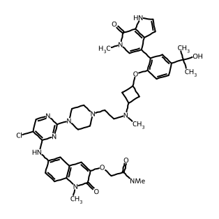 CNC(=O)COc1cc2cc(Nc3nc(N4CCN(CCN(C)C5CC(Oc6ccc(C(C)(C)O)cc6-c6cn(C)c(=O)c7[nH]ccc67)C5)CC4)ncc3Cl)ccc2n(C)c1=O